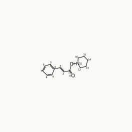 O=C(C=Cc1ccccc1)ON1CCCCC1